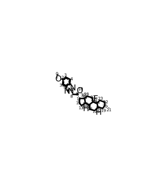 COc1ccc2nn(CC(=O)[C@H]3CCC4[C@@H]5CC[C@@H]6C[C@@H](C)CC[C@]6(F)C5CC[C@@]43C)nc2c1